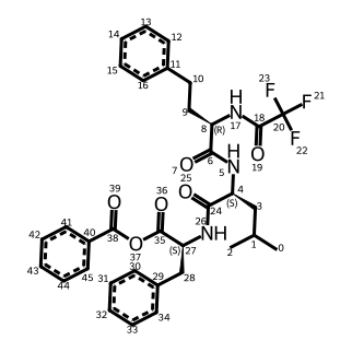 CC(C)C[C@H](NC(=O)[C@@H](CCc1ccccc1)NC(=O)C(F)(F)F)C(=O)N[C@@H](Cc1ccccc1)C(=O)OC(=O)c1ccccc1